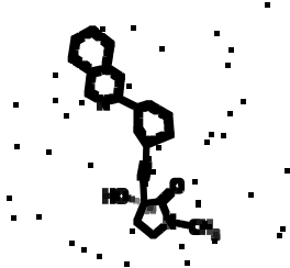 CN1CC[C@@](O)(C#Cc2cccc(-c3cc4ccccc4cn3)c2)C1=O